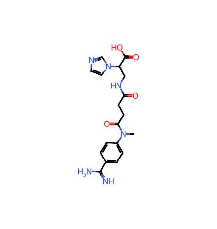 CN(C(=O)CCC(=O)NCC(C(=O)O)n1ccnc1)c1ccc(C(=N)N)cc1